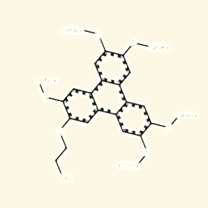 CCCCCCSc1cc2c(cc1SCCO)c1cc(SCCCCCC)c(SCCCCCC)cc1c1cc(SCCCCCC)c(SCCCCCC)cc21